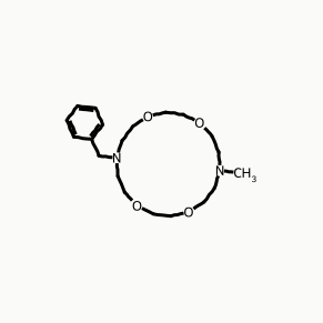 CN1CCOCCOCCN(Cc2ccccc2)CCOCCOCC1